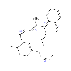 CC=CC(/C(=C/C=N\C1=C(C)CCC(C/C=C\C)=C1)CCCC)=c1/cccc/c1=C/C